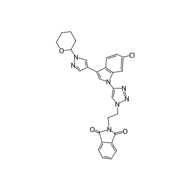 O=C1c2ccccc2C(=O)N1CCn1cc(-n2cc(-c3cnn(C4CCCCO4)c3)c3ccc(Cl)cc32)nn1